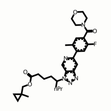 CCCC(CCCC(=O)OCC1(C)CC1)n1nnc2cc(-c3cc(F)c(C(=O)N4CCOCC4)cc3C)ncc21